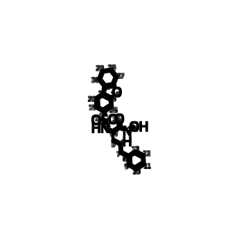 O=C(NO)[C@@H](CCCc1ccccc1)NS(=O)(=O)c1ccc2c3c(oc2c1)CCCC3